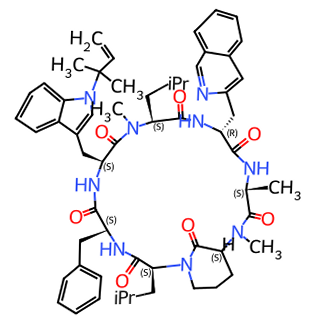 C=CC(C)(C)n1cc(C[C@@H]2NC(=O)[C@H](Cc3ccccc3)NC(=O)[C@H](CC(C)C)N3CCC[C@@H](C3=O)N(C)C(=O)[C@H](C)NC(=O)[C@@H](Cc3cc4ccccc4cn3)NC(=O)[C@H](CC(C)C)N(C)C2=O)c2ccccc21